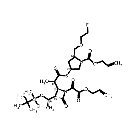 C=CCOC(=O)C(=O)N1C(=O)[C@H]([C@@H](C)O[Si](C)(C)C(C)(C)C)[C@H]1[C@@H](C)C(=S)S[C@H]1C[C@@H](COCCF)N(C(=O)OCC=C)C1